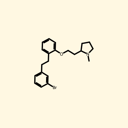 CN1CCCC1CCOc1ccccc1CCc1cccc(Br)c1